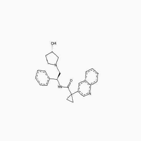 O=C(N[C@H](CN1CC[C@H](O)C1)c1ccccc1)C1(c2cnc3ccccc3c2)CC1